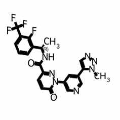 C[C@@H](NC(=O)c1ccc(=O)n(-c2cncc(-c3cnnn3C)c2)n1)c1cccc(C(F)(F)F)c1F